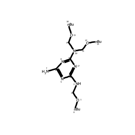 CCCCOCNc1nc(N)nc(N(COCCCC)COCCCC)n1